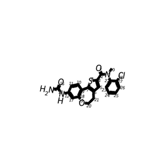 CN(C(=O)c1cc2c(s1)-c1ccc(NC(N)=O)cc1OCC2)c1ccccc1Cl